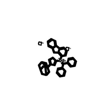 C1=[C]([Zr+2](=[C](c2ccccc2)c2ccccc2)[c]2cccc3c2Cc2ccccc2-3)CC=C1C12CC3CC(CC(C3)C1)C2.[Cl-].[Cl-]